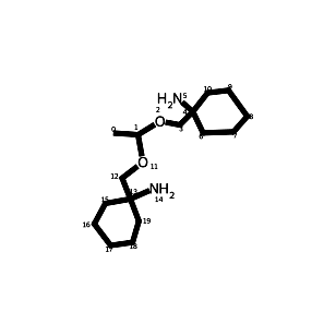 CC(OCC1(N)CCCCC1)OCC1(N)CCCCC1